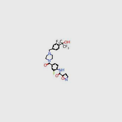 O=C(Nc1ccc(C(=O)N2CCN(Cc3ccc(C(O)(C(F)(F)F)C(F)(F)F)cc3)CC2)cc1F)c1ccno1